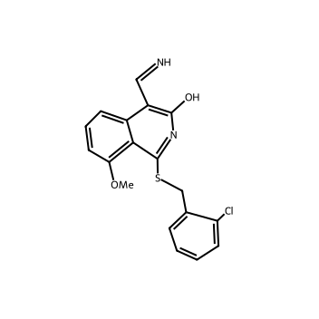 COc1cccc2c(C=N)c(O)nc(SCc3ccccc3Cl)c12